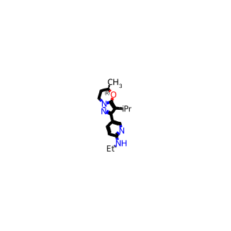 CCNc1ccc(-c2nn3c(c2C(C)C)O[C@H](C)CC3)cn1